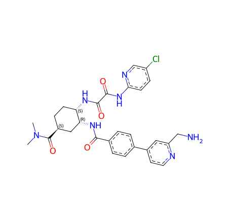 CN(C)C(=O)[C@H]1CC[C@H](NC(=O)C(=O)Nc2ccc(Cl)cn2)[C@H](NC(=O)c2ccc(-c3ccnc(CN)c3)cc2)C1